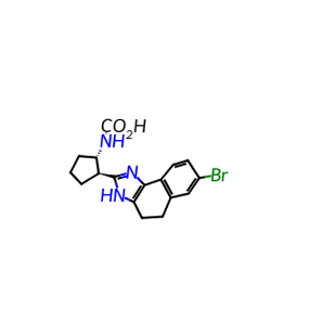 O=C(O)N[C@H]1CCC[C@@H]1c1nc2c([nH]1)CCc1cc(Br)ccc1-2